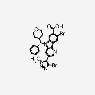 Cn1nnc(Br)c1-c1cnc2c3cc(Br)c(C(=O)O)cc3n([C@H](c3ccccc3)C3CCOCC3)c2c1